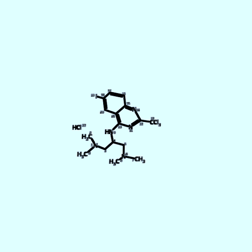 CN(C)CC(CN(C)C)Nc1nc(C(Cl)(Cl)Cl)nc2ccc(I)cc12.Cl